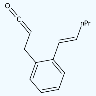 CCC/C=C/c1ccccc1CC=C=O